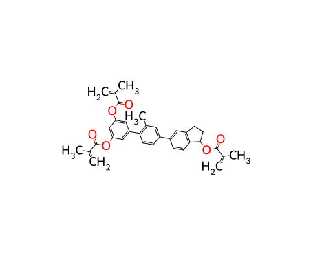 C=C(C)C(=O)Oc1cc(OC(=O)C(=C)C)cc(-c2ccc(-c3ccc4c(c3)CCC4OC(=O)C(=C)C)cc2C)c1